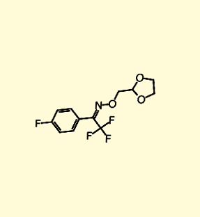 Fc1ccc(C(=NOCC2OCCO2)C(F)(F)F)cc1